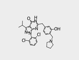 CC(C)c1nn(-c2c(Cl)cccc2Cl)c2nc(Cc3ccc(CN4CCCC4)c(O)c3)[nH]c(=O)c12